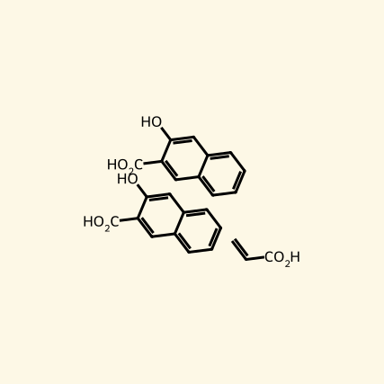 C=CC(=O)O.O=C(O)c1cc2ccccc2cc1O.O=C(O)c1cc2ccccc2cc1O